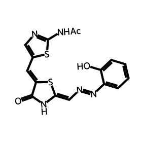 CC(=O)Nc1ncc(C=c2sc(=CN=Nc3ccccc3O)[nH]c2=O)s1